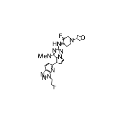 CNc1nc(N[C@H]2CCN(C3COC3)C[C@H]2F)nn2ccc(-c3ccc4nnn(CCF)c4n3)c12